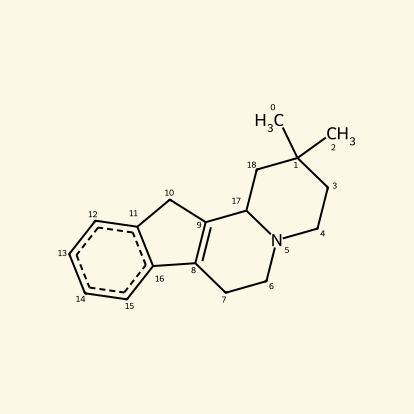 CC1(C)CCN2CCC3=C(Cc4ccccc43)C2C1